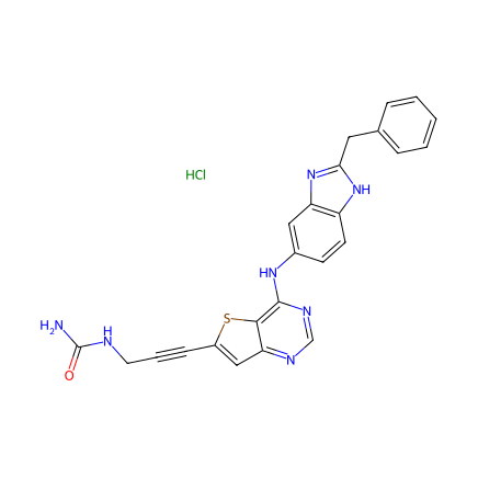 Cl.NC(=O)NCC#Cc1cc2ncnc(Nc3ccc4[nH]c(Cc5ccccc5)nc4c3)c2s1